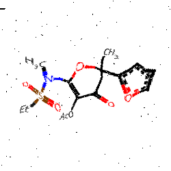 CCS(=O)(=O)N(C)C1=C(OC(C)=O)C(=O)C(C)(c2ccco2)O1